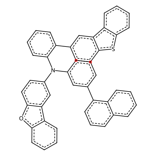 c1cc(-c2cccc3ccccc23)cc(N(c2ccc3oc4ccccc4c3c2)c2ccccc2-c2ccc3sc4ccccc4c3c2)c1